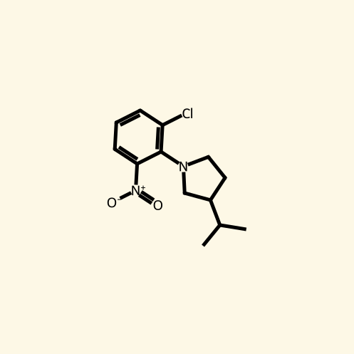 CC(C)C1CCN(c2c(Cl)cccc2[N+](=O)[O-])C1